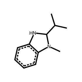 CC(C)C1Nc2ccccc2N1C